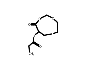 CCC(=O)OC1CCCCCCOC1=O